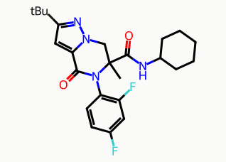 CC(C)(C)c1cc2n(n1)CC(C)(C(=O)NC1CCCCC1)N(c1ccc(F)cc1F)C2=O